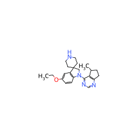 CCOc1ccc2c(c1)C1(CCNCC1)CN2c1ncnc2c1C(C)CC2